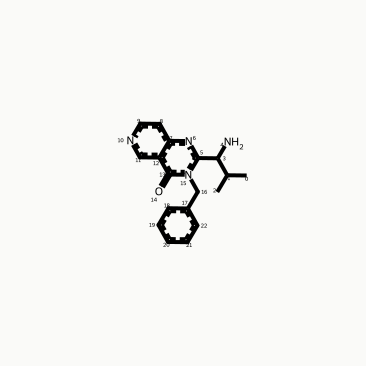 CC(C)C(N)c1nc2ccncc2c(=O)n1Cc1ccccc1